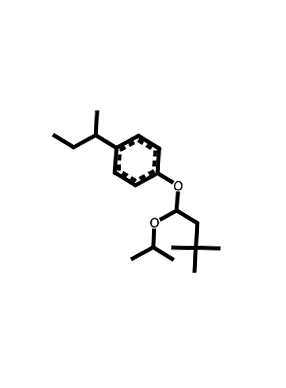 CCC(C)c1ccc(OC(CC(C)(C)C)OC(C)C)cc1